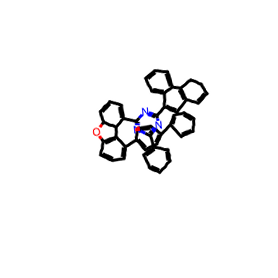 C1=CC2Oc3cccc(-c4ccc(-c5ccccc5)cc4)c3C2C(c2nc(-c3ccccc3)nc(-c3cc4c(c5ccccc35)CCC=C4)n2)=C1